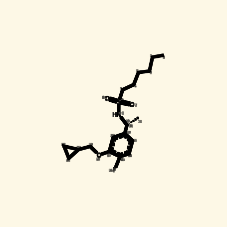 CCCCCCS(=O)(=O)N[C@H](C)c1ccc(F)c(OCC2CC2)c1